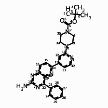 CC(C)(C)OC(=O)N1CCN(c2cc(-c3ccc4nc(N)nc(-c5ccccc5)c4n3)ccn2)CC1